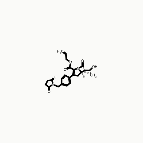 C=CCOC(=O)C1=C(c2ccc(CN3C(=O)CCC3=O)cc2)C[C@@H]2[C@@H]([C@@H](C)O)C(=O)N12